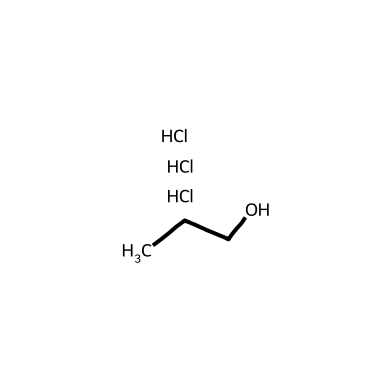 CCCO.Cl.Cl.Cl